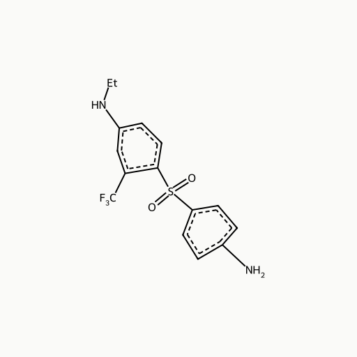 CCNc1ccc(S(=O)(=O)c2ccc(N)cc2)c(C(F)(F)F)c1